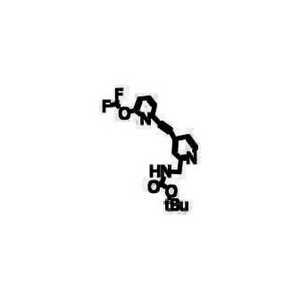 CC(C)(C)OC(=O)NCc1cc(C#Cc2cccc(OC(F)F)n2)ccn1